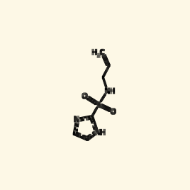 C=CCNS(=O)(=O)c1ncc[nH]1